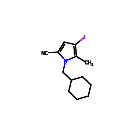 Cc1c(I)cc(C#N)n1CC1CCCCC1